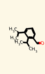 CC(C)c1cccc(C=O)c1C(C)C